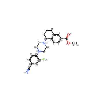 COC(=O)c1ccc2c(c1)CCCC2N1CCN(c2ccc(C#N)cc2F)CC1